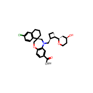 COC(=O)c1ccc2c(c1)N(C[C@H]1CC[C@@H]1[C@@H]1C[C@@H](O)CCO1)C[C@@]1(CCCc3cc(Cl)ccc31)CO2